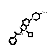 COC1CCN(c2ccc3nc(NC(=O)c4ccccc4)n(C4CCC4)c3n2)CC1